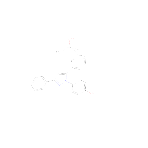 CC(C)O.Oc1ccc(-n2nc(-c3ccccc3)cc2-c2ccccc2)cc1